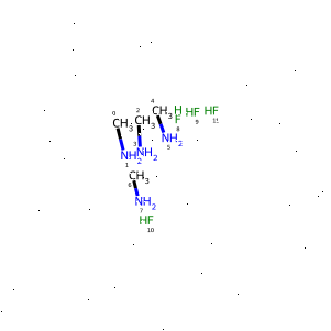 CN.CN.CN.CN.F.F.F.F